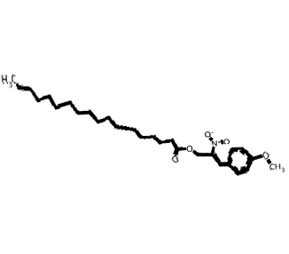 CCCCCCCCCCCCCCCCCC(=O)OCC(=Cc1ccc(OC)cc1)[N+](=O)[O-]